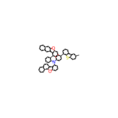 Cc1ccc2sc3c(-c4ccc(N(c5ccccc5-c5cccc6oc7cc8ccccc8cc7c56)c5cccc6oc7c8ccccc8ccc7c56)cc4)cccc3c2c1